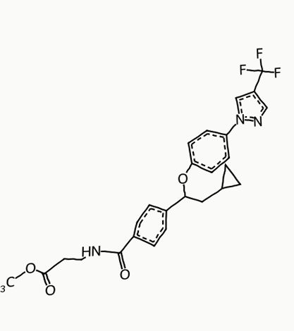 COC(=O)CCNC(=O)c1ccc(C(CC2CC2)Oc2ccc(-n3cc(C(F)(F)F)cn3)cc2)cc1